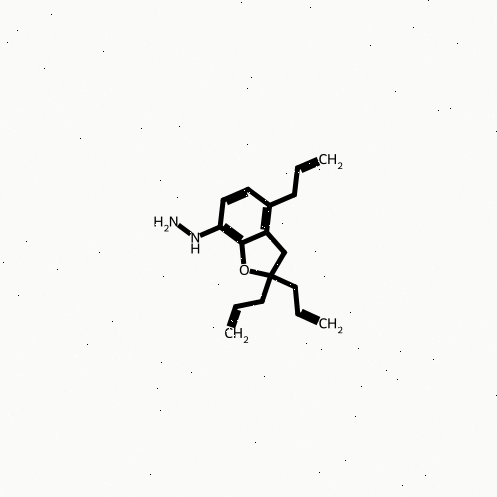 C=CCc1ccc(NN)c2c1CC(CC=C)(CC=C)O2